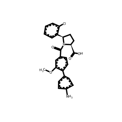 COc1cc(C(=O)N2[C@@H](c3ccccc3Cl)CC[C@H]2C(=O)O)ccc1-c1ccc(N)cc1